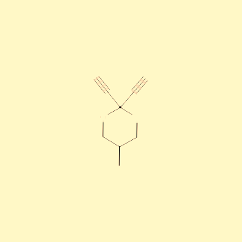 C#CC1(C#C)OCC(C)CO1